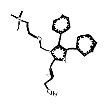 C[Si](C)(C)CCOCn1c(/C=C/CO)nc(-c2ccccc2)c1-c1ccccc1